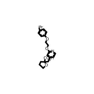 CC(C)c1ccc(OCCOc2cc(CC3(C(=O)O)CCCO3)ccn2)cc1